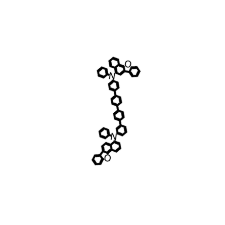 c1ccc(N(c2cccc(-c3ccc(-c4ccc(-c5ccc(N(c6ccccc6)c6cc7c8ccccc8oc7c7ccccc67)cc5)cc4)cc3)c2)c2cccc3c2ccc2c4ccccc4oc32)cc1